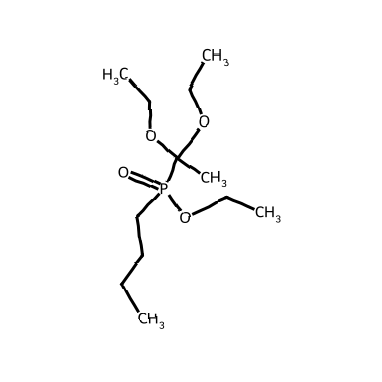 CCCCP(=O)(OCC)C(C)(OCC)OCC